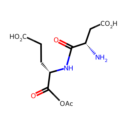 CC(=O)OC(=O)[C@H](CCC(=O)O)NC(=O)[C@@H](N)CC(=O)O